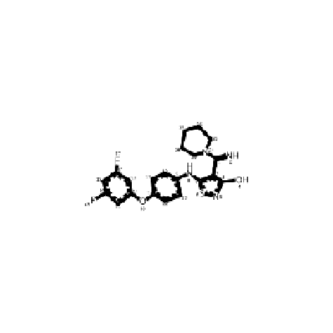 N=C(c1c(O)nsc1Nc1ccc(Oc2cc(F)cc(F)c2)cc1)N1CCCCC1